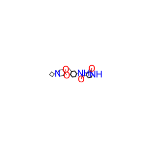 O=C(Nc1ccc2c(c1)COC1(CCN(C3CCC3)CC1)O2)c1cc[nH]c(=O)c1